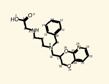 O=C(O)CNCCCN(Cc1ccccc1)CC1COc2cccnc2O1